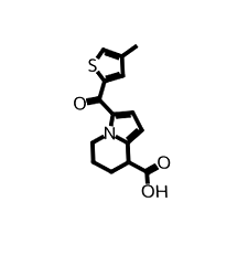 Cc1csc(C(=O)c2ccc3n2CCCC3C(=O)O)c1